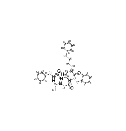 O=C1[C@H](Cc2ccccc2)N2C(=O)CN(CI)N(C(=O)NCc3ccccc3)[C@H]2CN1CCCCc1ccccc1